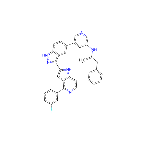 C=C(Cc1ccccc1)Nc1cncc(-c2ccc3[nH]nc(-c4cc5c(-c6cccc(F)c6)nccc5[nH]4)c3c2)c1